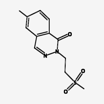 Cc1ccc2c(=O)n(CCS(C)(=O)=O)ncc2c1